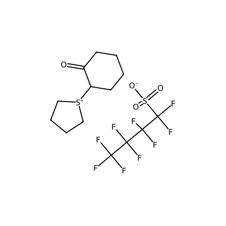 O=C1CCCCC1[S+]1CCCC1.O=S(=O)([O-])C(F)(F)C(F)(F)C(F)(F)C(F)(F)F